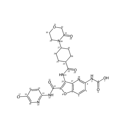 O=C(O)Nc1ccc2oc(C(=O)Nc3ccc(Cl)cn3)c(NC(=O)C3CCC(N4CCOCC4=O)CC3)c2n1